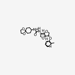 Cc1ncccc1O[C@H]1CO[C@H]2[C@@H]1OC[C@@H]2NC(=O)NC1CCC2(CC1)OCCO2